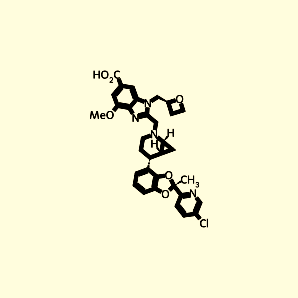 COc1cc(C(=O)O)cc2c1nc(CN1CC[C@@H](c3cccc4c3O[C@@](C)(c3ccc(Cl)cn3)O4)[C@@H]3C[C@@H]31)n2C[C@@H]1CCO1